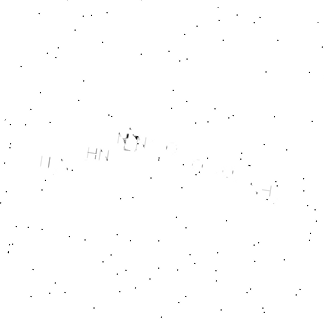 NCCCNCc1cn(CCOCCOCCOCCN)nn1